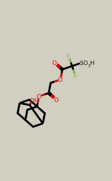 O=C(COC(=O)C(F)(F)S(=O)(=O)O)OC12CC3CC(C1)C(O)C(C3)C2